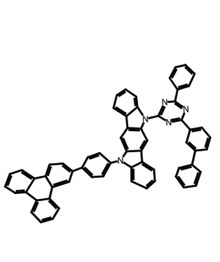 c1ccc(-c2cccc(-c3nc(-c4ccccc4)nc(-n4c5ccccc5c5cc6c(cc54)c4ccccc4n6-c4ccc(-c5ccc6c7ccccc7c7ccccc7c6c5)cc4)n3)c2)cc1